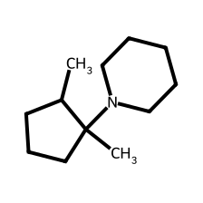 CC1CCCC1(C)N1CCCCC1